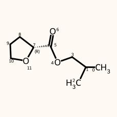 CC(C)COC(=O)[C@H]1CCCO1